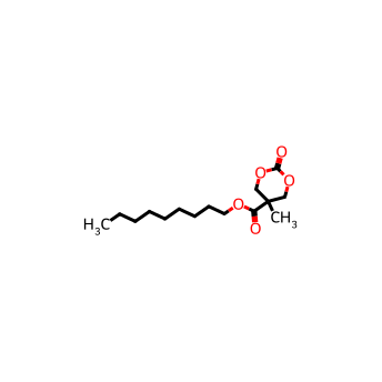 CCCCCCCCCOC(=O)C1(C)COC(=O)OC1